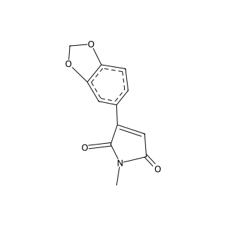 CN1C(=O)C=C(c2ccc3c(c2)OCO3)C1=O